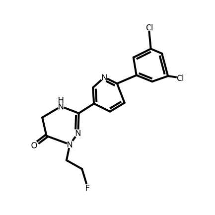 O=C1CNC(c2ccc(-c3cc(Cl)cc(Cl)c3)nc2)=NN1CCF